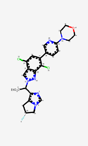 CCOC(=O)C(c1ncn2c1C[C@@H](F)C2)n1cc2c(Cl)cc(-c3ccc(N4CCOCC4)nc3)c(Cl)c2n1